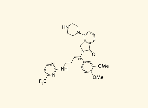 COc1ccc([C@@H](CCCNc2nccc(C(F)(F)F)n2)N2Cc3c(cccc3N3CCNCC3)C2=O)cc1OC